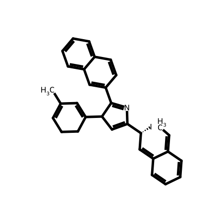 C/C=c1/cccc/c1=C/[C@@H](I)C1=CC(C2=CC(C)=CCC2)C(c2ccc3ccccc3c2)=N1